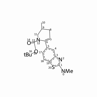 CNc1nc2cc(C3=CCC(C)CN3C(=O)OC(C)(C)C)ccc2s1